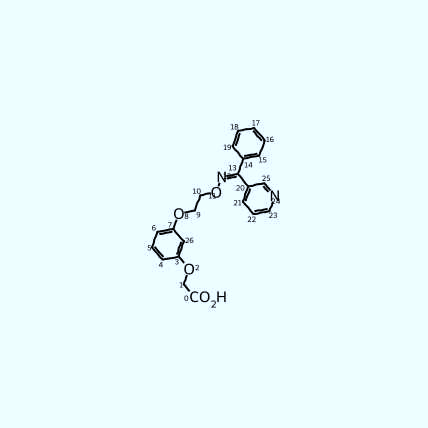 O=C(O)COc1cccc(OCCO/N=C(/c2ccccc2)c2cccnc2)c1